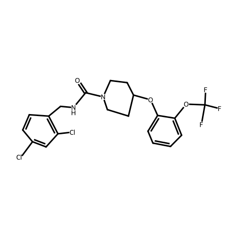 O=C(NCc1ccc(Cl)cc1Cl)N1CCC(Oc2ccccc2OC(F)(F)F)CC1